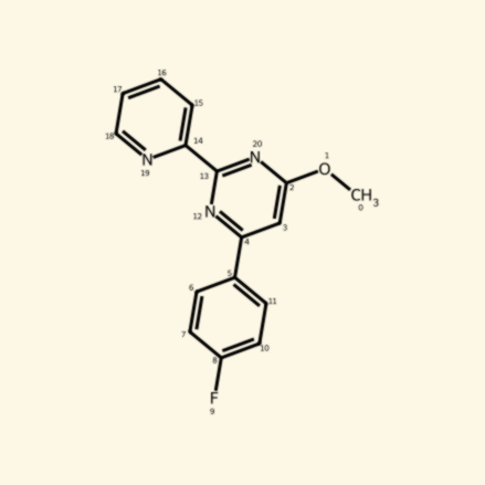 COc1cc(-c2ccc(F)cc2)nc(-c2ccccn2)n1